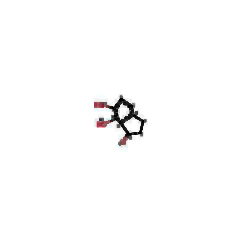 O=C1CCc2ccc(O)c(O)c21